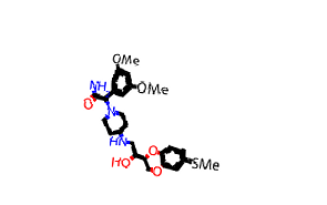 COc1cc(OC)cc(C(C(N)=O)N2CCC(NCC(O)C3COc4cc(SC)ccc4O3)CC2)c1